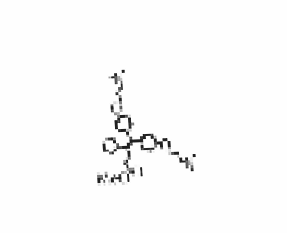 COC(=O)CCC(=C(c1ccc(OCCCN(C)C)cc1)c1ccc(OCCCN(C)C)cc1)C1CCCC1